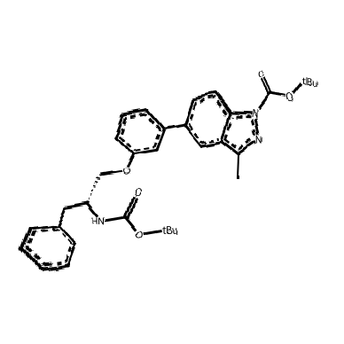 Cc1nn(C(=O)OC(C)(C)C)c2ccc(-c3cccc(OC[C@@H](Cc4ccccc4)NC(=O)OC(C)(C)C)c3)cc12